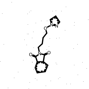 O=C1c2ccccc2C(=O)N1CCCCOn1cccn1